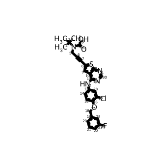 CC(C)(C)N(CC#Cc1cc2c(Nc3ccc(OCc4cccc(F)c4)c(Cl)c3)ncnc2s1)C(=O)O